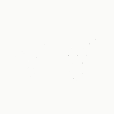 Bc1c(B)c(B)c(-c2nc(-c3ccc4c(c3)oc3c(-c5ccc6c(c5)c5ccccc5n6-c5ccccc5)cccc34)nc(-c3c(B)c(B)c(B)c(B)c3B)n2)c(B)c1B